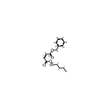 CCC[CH2][Sn][O]C(=O)/C=C\C(=O)OCc1ccccc1